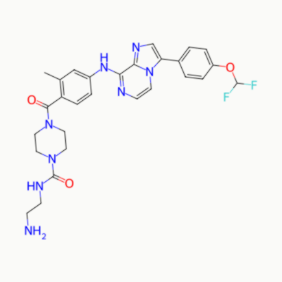 Cc1cc(Nc2nccn3c(-c4ccc(OC(F)F)cc4)cnc23)ccc1C(=O)N1CCN(C(=O)NCCN)CC1